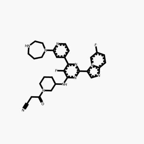 N#CCC(=O)N1CCCC(Nc2nc(-c3cnc4ccc(F)cn34)nc(-c3ccnc(N4CCCNCC4)c3)c2F)C1